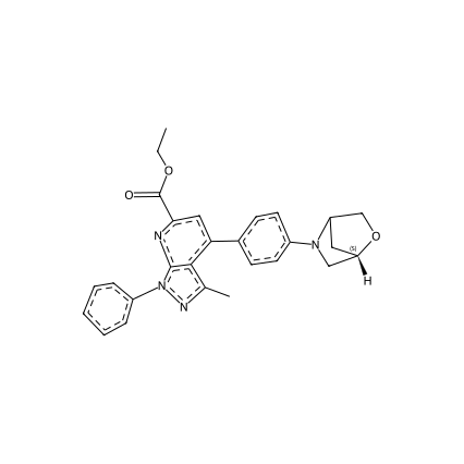 CCOC(=O)c1cc(-c2ccc(N3C[C@@H]4CC3CO4)cc2)c2c(C)nn(-c3ccccc3)c2n1